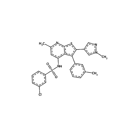 Cc1cccc(-c2c(-c3cnn(C)c3)sc3nc(C)cc(NS(=O)(=O)c4cccc(Cl)c4)c23)c1